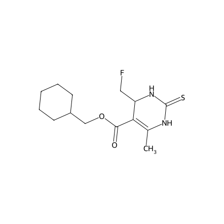 CC1=C(C(=O)OCC2CCCCC2)C(CF)NC(=S)N1